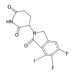 O=C1CCC(N2Cc3cc(F)c(F)c(I)c3C2=O)C(=O)N1